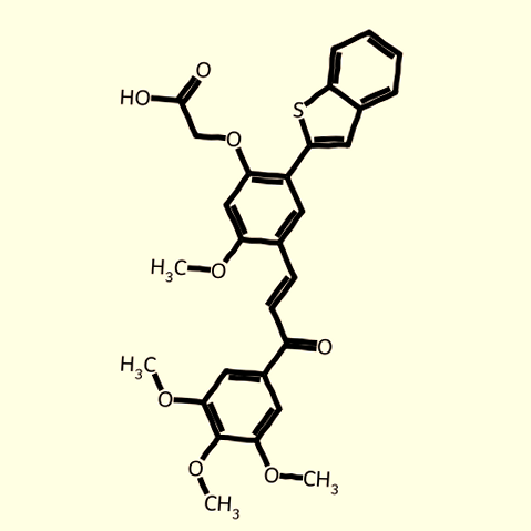 COc1cc(OCC(=O)O)c(-c2cc3ccccc3s2)cc1/C=C/C(=O)c1cc(OC)c(OC)c(OC)c1